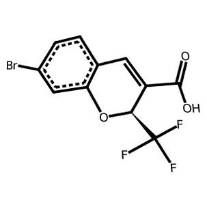 O=C(O)C1=Cc2ccc(Br)cc2O[C@@H]1C(F)(F)F